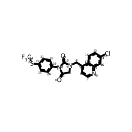 O=C1CN(Cc2ccnc3cc(Cl)ccc23)C(=O)N1c1ccc(SC(F)(F)F)cc1